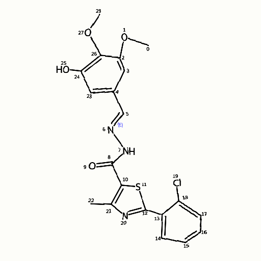 COc1cc(/C=N/NC(=O)c2sc(-c3ccccc3Cl)nc2C)cc(O)c1OC